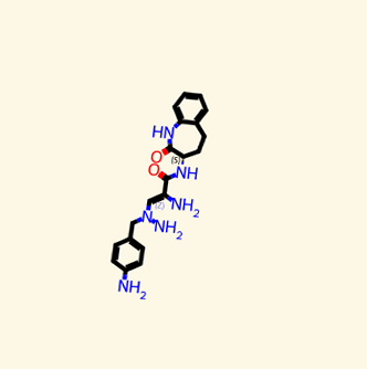 N/C(=C\N(N)Cc1ccc(N)cc1)C(=O)N[C@H]1CCc2ccccc2NC1=O